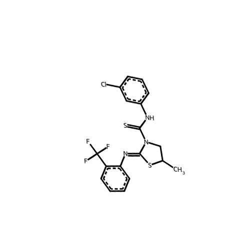 CC1CN(C(=S)Nc2cccc(Cl)c2)C(=Nc2ccccc2C(F)(F)F)S1